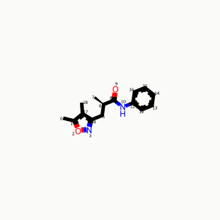 Cc1onc(C[C@@H](C)C(=O)Nc2ccccc2)c1C